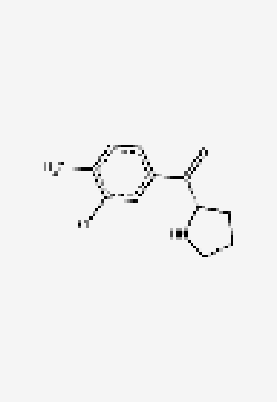 Cc1ccc(C(=O)[C@@H]2CCCN2)cc1Cl